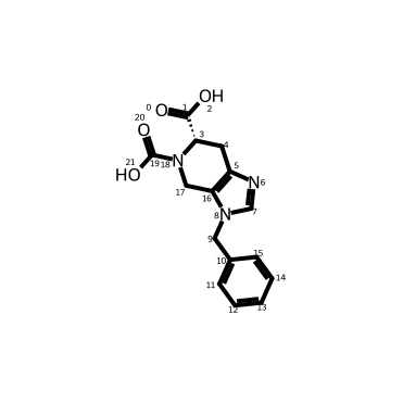 O=C(O)[C@@H]1Cc2ncn(Cc3ccccc3)c2CN1C(=O)O